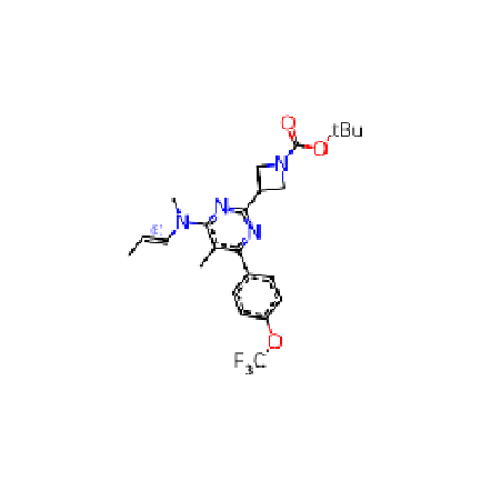 C/C=C/N(C)c1nc(C2CN(C(=O)OC(C)(C)C)C2)nc(-c2ccc(OC(F)(F)F)cc2)c1C